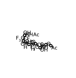 CC(=O)Nc1cc(C(c2ccc(O)c(NC(=O)c3cccc(C(=O)Nc4cc(C(c5ccc(O)c(NC(=O)c6ccc(Oc7ccc(C(C)=O)cc7)cc6)c5)(C(F)(F)F)C(F)(F)F)ccc4O)c3)c2)(C(F)(F)F)C(F)(F)F)ccc1O